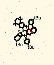 Cc1cc2c3c(c1)N(c1ccc(C(C)(C)C)cc1)c1c(sc4ccc(C(C)(C)C)cc14)B3c1cc3c(cc1N2c1ccc(C(C)(C)C)cc1-c1ccccc1)C(C)(C)CCC3(C)C